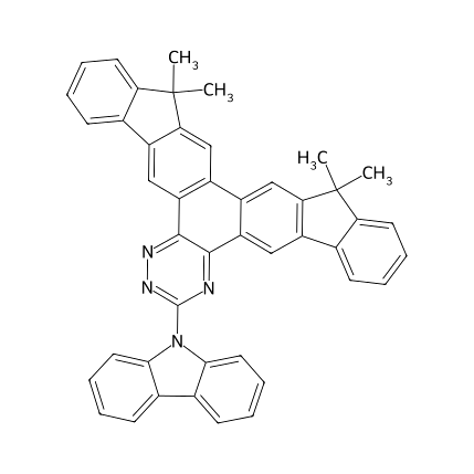 CC1(C)c2ccccc2-c2cc3c(cc21)c1cc2c(cc1c1nc(-n4c5ccccc5c5ccccc54)nnc31)-c1ccccc1C2(C)C